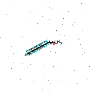 COCCCC(F)(F)C(F)(F)C(F)(F)C(F)(F)C(F)(F)C(F)(F)C(F)(F)C(F)(F)C(F)(F)C(F)(F)C(F)(F)C(F)(F)C(F)(F)F